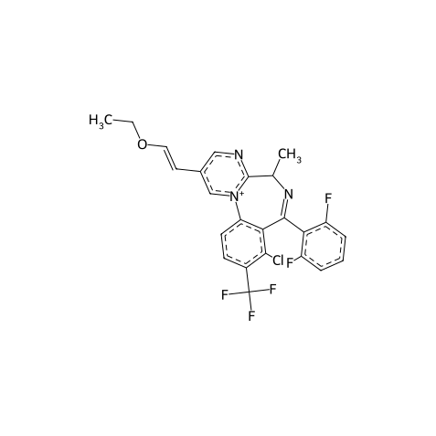 CCO/C=C/c1cnc2[n+](c1)-c1ccc(C(F)(F)F)c(Cl)c1C(c1c(F)cccc1F)=NC2C